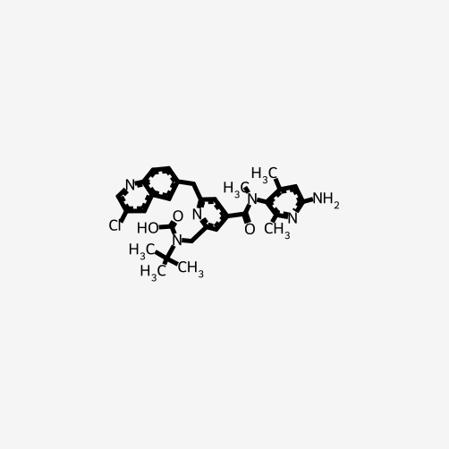 Cc1cc(N)nc(C)c1N(C)C(=O)c1cc(Cc2ccc3ncc(Cl)cc3c2)nc(CN(C(=O)O)C(C)(C)C)c1